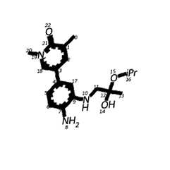 Cc1cc(-c2ccc(N)c(NCC(C)(O)OC(C)C)c2)cn(C)c1=O